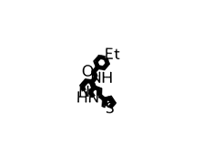 CCC1CCC(C(=O)Nc2ccnc3[nH]c(-c4ccsc4)cc23)CC1